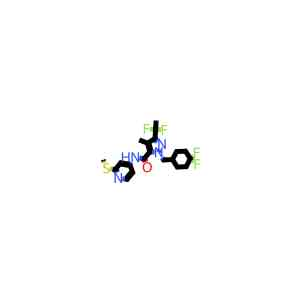 CSc1cc(NC(=O)c2c(C)c(C(C)(F)F)nn2CC2CCC(F)(F)CC2)ccn1